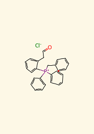 O=CCc1ccccc1[P+](Cc1ccccc1)(c1ccccc1)c1ccccc1.[Cl-]